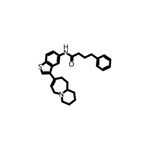 O=C(CCCc1ccccc1)Nc1ccc2scc(C3=CCN4CCCCC4CC3)c2c1